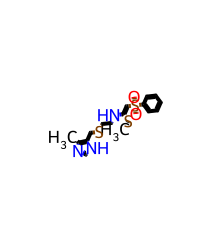 CSC(=CS(=O)(=O)c1ccccc1)NCCSCc1[nH]cnc1C